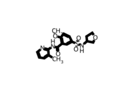 COc1ccc(S(=O)(=O)NC2CCOC2)cc1C(=O)Nc1ncccc1C